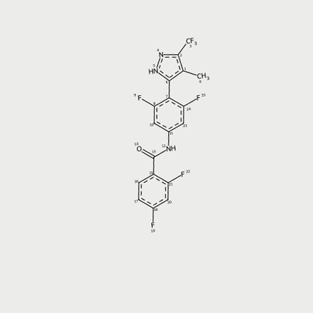 Cc1c(C(F)(F)F)n[nH]c1-c1c(F)cc(NC(=O)c2ccc(F)cc2F)cc1F